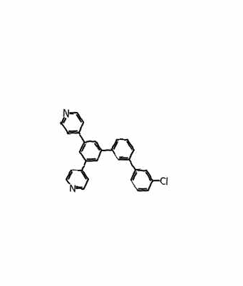 Clc1cccc(-c2cccc(-c3cc(-c4ccncc4)cc(-c4ccncc4)c3)c2)c1